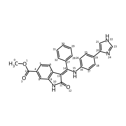 COC(=O)c1ccc2c(c1)NC(=O)/C2=C(\Nc1ccc(-c2c[nH]cn2)cc1)c1ccccc1